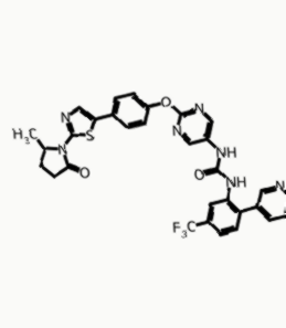 CC1CCC(=O)N1c1ncc(-c2ccc(Oc3ncc(NC(=O)Nc4cc(C(F)(F)F)ccc4-c4cccnc4)cn3)cc2)s1